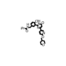 CC(C)C(=O)NCc1ccc(Cl)c(-c2nc(-c3ccc(OCC4CCOCC4)nc3)cc(=O)[nH]2)c1